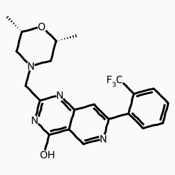 C[C@@H]1CN(Cc2nc(O)c3cnc(-c4ccccc4C(F)(F)F)cc3n2)C[C@H](C)O1